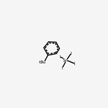 [CH2]C(C)(C)c1ccccc1.[I][Sn]([I])([I])[I]